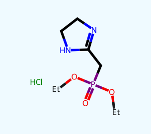 CCOP(=O)(CC1=NCCN1)OCC.Cl